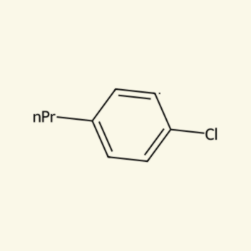 CCCc1c[c]c(Cl)cc1